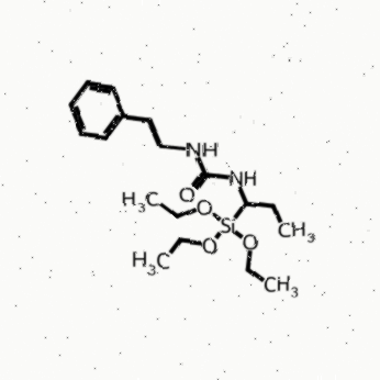 CCO[Si](OCC)(OCC)C(CC)NC(=O)NCCc1ccccc1